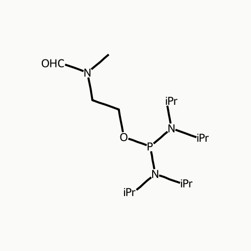 CC(C)N(C(C)C)P(OCCN(C)C=O)N(C(C)C)C(C)C